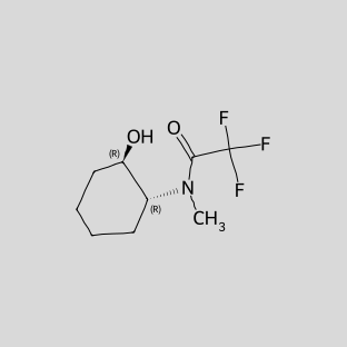 CN(C(=O)C(F)(F)F)[C@@H]1CCCC[C@H]1O